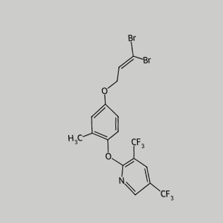 Cc1cc(OCC=C(Br)Br)ccc1Oc1ncc(C(F)(F)F)cc1C(F)(F)F